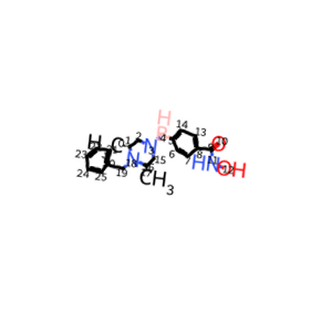 C[C@@H]1CN(Bc2ccc(C(=O)NO)cc2)C[C@H](C)N1Cc1ccccc1